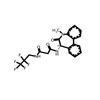 CN1C(=O)[C@@H](NC(=O)CC(=O)NCC(F)(F)C(F)(F)F)c2ccccc2-c2ccccc21